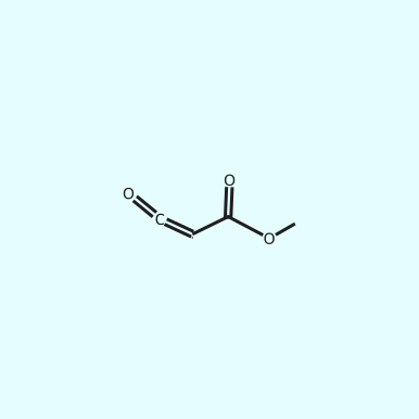 COC(=O)[C]=C=O